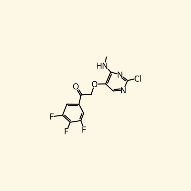 CNc1nc(Cl)ncc1OCC(=O)c1cc(F)c(F)c(F)c1